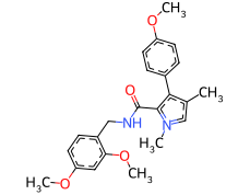 COc1ccc(-c2c(C)cn(C)c2C(=O)NCc2ccc(OC)cc2OC)cc1